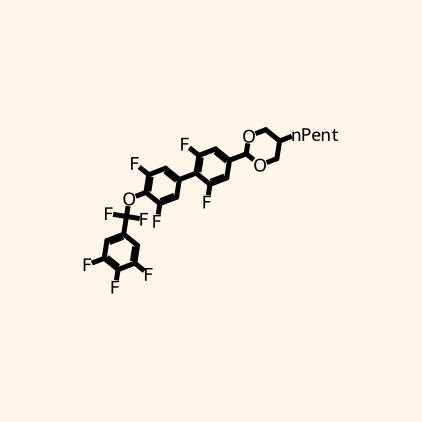 CCCCCC1COC(c2cc(F)c(-c3cc(F)c(OC(F)(F)c4cc(F)c(F)c(F)c4)c(F)c3)c(F)c2)OC1